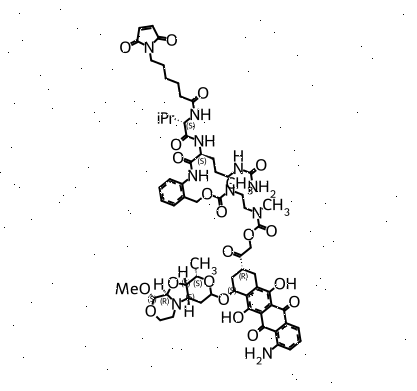 CO[C@H]1OCCN2[C@@H]1O[C@@H]1[C@H](C)OC(O[C@H]3C[C@H](C(=O)COC(=O)N(C)CCN(C)C(=O)OCc4ccccc4NC(=O)[C@H](CCCNC(N)=O)NC(=O)[C@@H](NC(=O)CCCCCN4C(=O)C=CC4=O)C(C)C)Cc4c(O)c5c(c(O)c43)C(=O)c3c(N)cccc3C5=O)C[C@@H]12